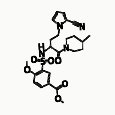 COC(=O)c1ccc(OC)c(S(=O)(=O)NC(CCn2cccc2C#N)C(=O)N2CCC(C)CC2)c1